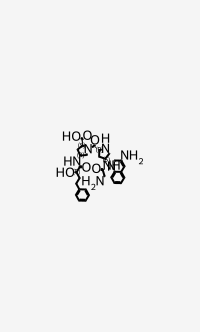 NCC(=O)N[C@@H]1CN[C@@H](C(=O)N2C[C@H](NC(=O)[C@H](O)CCc3ccccc3)C[C@H]2C(=O)O)C1.Nc1cnc2ccccc2c1